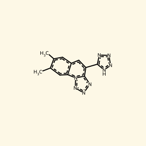 Cc1cc2cc(-c3nnn[nH]3)c3nnnn3c2cc1C